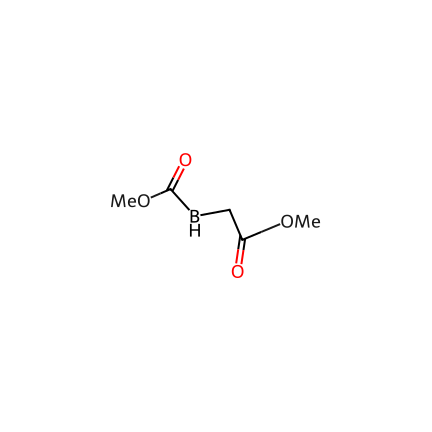 COC(=O)BCC(=O)OC